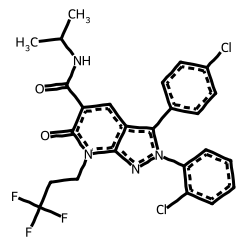 CC(C)NC(=O)c1cc2c(-c3ccc(Cl)cc3)n(-c3ccccc3Cl)nc2n(CCC(F)(F)F)c1=O